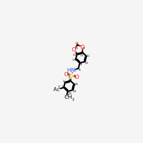 CC(=O)c1cc(S(=O)(=O)NCc2ccc3c(c2)OCO3)ccc1C